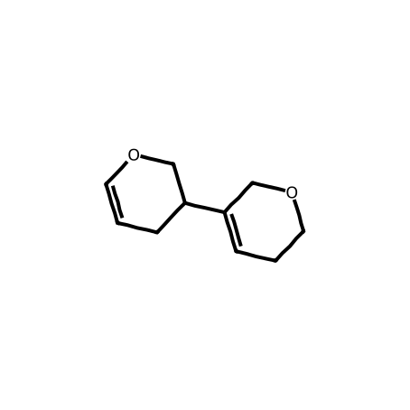 C1=COCC(C2=CCCOC2)C1